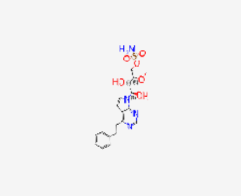 CO[C@H](COS(N)(=O)=O)[C@@H](O)[C@@H](O)n1ccc2c(CCc3ccccc3)ncnc21